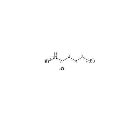 CC(C)NC(=O)CCCC(C)(C)C